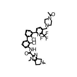 CC(=O)N1CCN(Cc2ccc(-c3cccc(-c4cccc(NC(=O)c5nc6c(n5C)CCN(C)C6)c4Cl)c3Cl)nc2C(F)(F)F)CC1